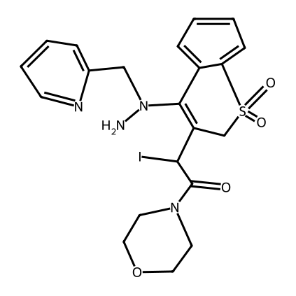 NN(Cc1ccccn1)C1=C(C(I)C(=O)N2CCOCC2)CS(=O)(=O)c2ccccc21